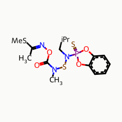 CS/C(C)=N/OC(=O)N(C)SN(CC(C)C)P1(=S)Oc2ccccc2O1